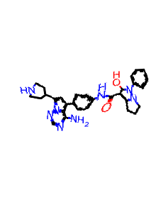 Nc1ncnn2c(C3CCNCC3)cc(-c3ccc(NC(=O)C4=C5CCCN5N(c5ccccc5)C4O)cc3)c12